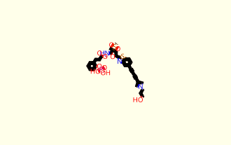 CC(CCc1nc2cc(C#CC#CC3CN(CCCO)C3)ccc2s1)(C(=O)NOC(=O)CCc1ccccc1OP(=O)(O)O)S(C)(=O)=O